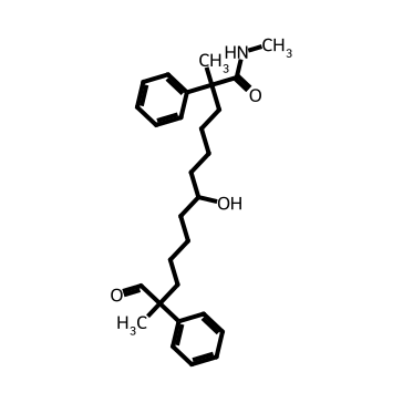 CNC(=O)C(C)(CCCCC(O)CCCCC(C)(C=O)c1ccccc1)c1ccccc1